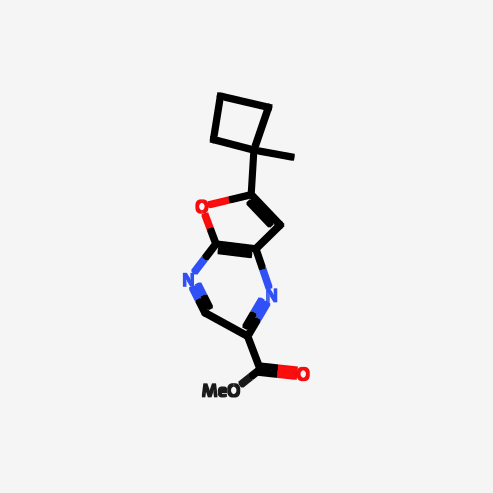 COC(=O)c1cnc2oc(C3(C)CCC3)cc2n1